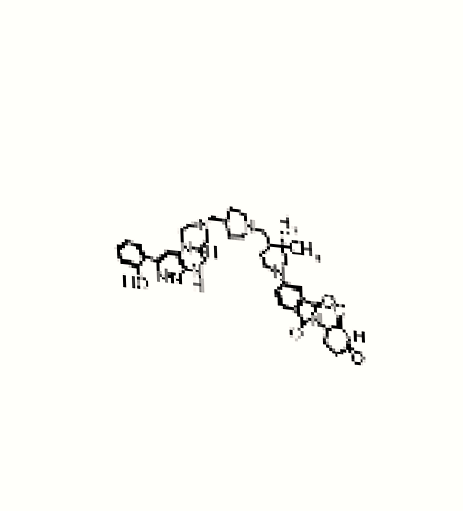 CC1(C)CN(c2ccc3c(c2)C(=O)N(C2CCC(=O)NC2=O)C3=O)CCC1CN1CCC(CN2CCN3c4cc(-c5ccccc5O)nnc4NC[C@H]3C2)CC1